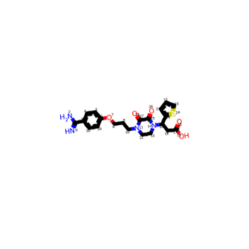 N=C(N)c1ccc(OCCCN2CCN(C(CC(=O)O)c3cccs3)C(=O)C2=O)cc1